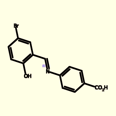 O=C(O)c1ccc(/N=C/c2cc(Br)ccc2O)cc1